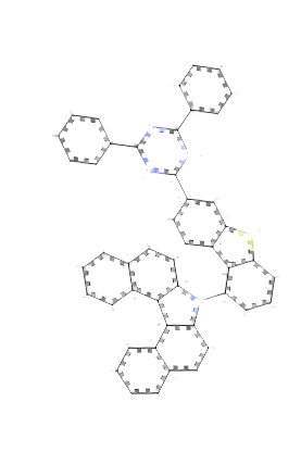 c1ccc(-c2nc(-c3ccccc3)nc(-c3ccc4c(c3)sc3cccc(-n5c6ccc7ccccc7c6c6c7ccccc7ccc65)c34)n2)cc1